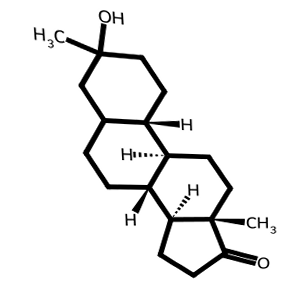 CC1(O)CC[C@H]2C(CC[C@@H]3[C@@H]2CC[C@]2(C)C(=O)CC[C@@H]32)C1